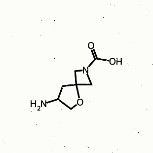 NC1COC2(C1)CN(C(=O)O)C2